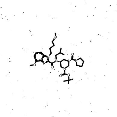 COCCCCn1c(C(=O)N(CC(C)C)[C@H]2C[C@@H](C(=O)N3CCCC3)CN(C(=O)OC(C)(C)C)C2)nc2c(OC)cccc21